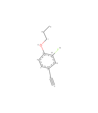 C#Cc1ccc(OCCC)c(F)c1